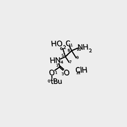 CC(C)(C)OC(=O)NC(C)(C)C(C)(N)C(=O)O.Cl